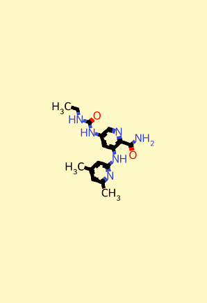 CCNC(=O)Nc1cnc(C(N)=O)c(Nc2cc(C)cc(C)n2)c1